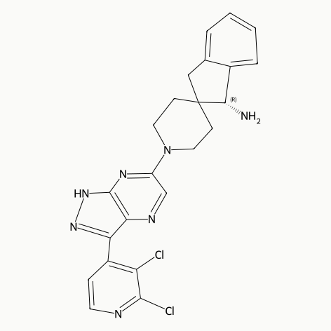 N[C@H]1c2ccccc2CC12CCN(c1cnc3c(-c4ccnc(Cl)c4Cl)n[nH]c3n1)CC2